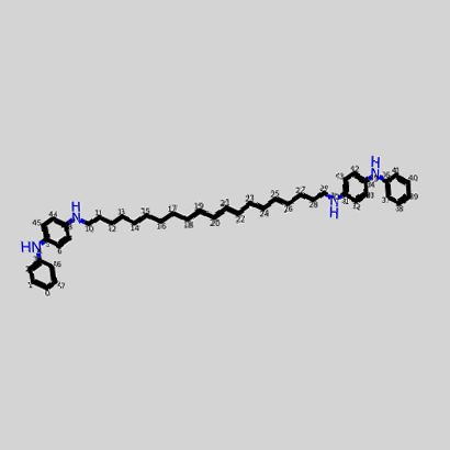 c1ccc(Nc2ccc(NCCCCCCCCCCCCCCCCCCCCNc3ccc(Nc4ccccc4)cc3)cc2)cc1